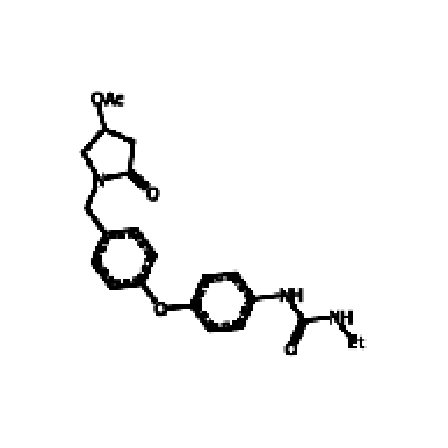 CCNC(=O)Nc1ccc(Oc2ccc(CN3CC(OC(C)=O)CC3=O)cc2)cc1